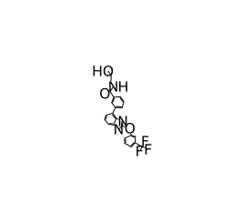 Cn1c(Oc2cccc(C(F)(F)F)c2)nc2c(-c3cccc(C(=O)NCCO)c3)cccc21